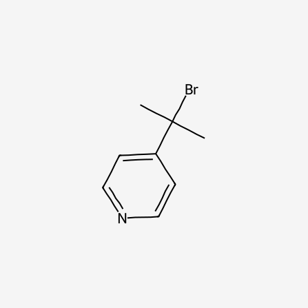 CC(C)(Br)c1ccncc1